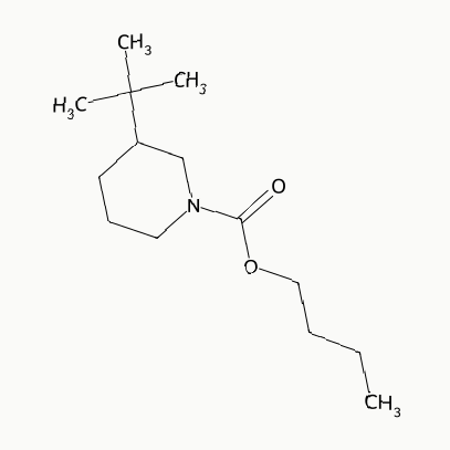 CCCCOC(=O)N1CCCC(C(C)(C)C)C1